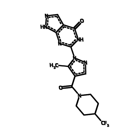 Cc1c(C(=O)N2CCC(C(F)(F)F)CC2)cnn1-c1nc2[nH]ncc2c(=O)[nH]1